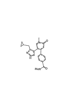 CNC(=O)c1ccc(-c2cc(=O)n(C)cc2-c2c[nH]nc2CC2CC2)cc1